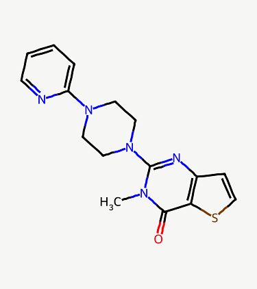 Cn1c(N2CCN(c3ccccn3)CC2)nc2ccsc2c1=O